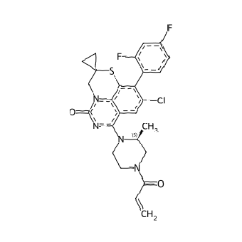 C=CC(=O)N1CCN(c2nc(=O)n3c4c(c(-c5ccc(F)cc5F)c(Cl)cc24)SC2(CC2)C3)[C@@H](C)C1